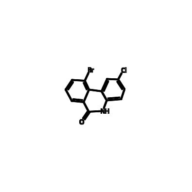 O=c1[nH]c2ccc(Cl)cc2c2c(Br)cccc12